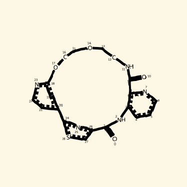 O=C1Nc2cccnc2C(=O)NCCOCCOc2cc(ccn2)-c2nc1cs2